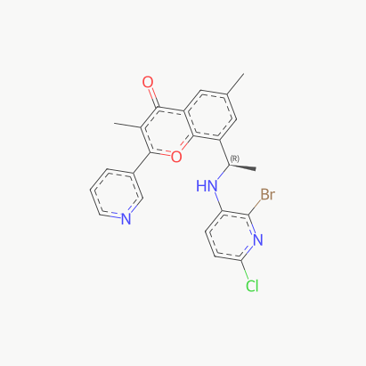 Cc1cc([C@@H](C)Nc2ccc(Cl)nc2Br)c2oc(-c3cccnc3)c(C)c(=O)c2c1